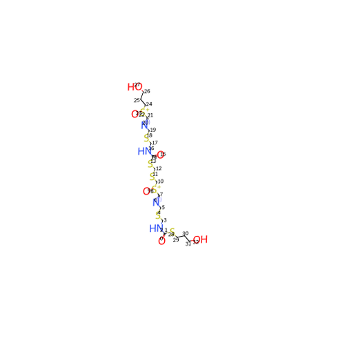 O=C(NCSC/N=C/[S+]([O-])CSCSC(=O)NCSC/N=C/[S+]([O-])CCCO)SCCCO